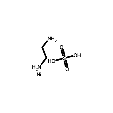 NCCN.O=S(=O)(O)O.[Ni]